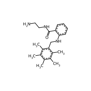 Cc1c(C)c(C)c(CNc2ccccc2C(=O)NCCN)c(C)c1C